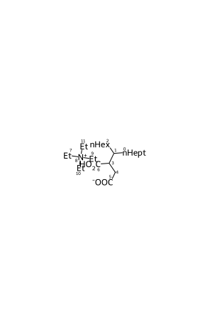 CCCCCCCC(CCCCCC)C(CC(=O)[O-])C(=O)O.CC[N+](CC)(CC)CC